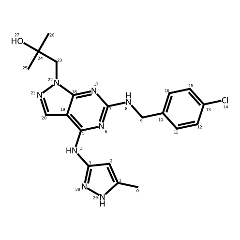 Cc1cc(Nc2nc(NCc3ccc(Cl)cc3)nc3c2cnn3CC(C)(C)O)n[nH]1